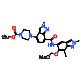 COCOc1c(NC(=O)c2ccc(N3CCN(C(=O)OC(C)(C)C)CC3)c3cn(C)nc23)cc2cn(C)nc2c1C